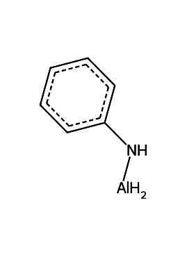 [AlH2][NH]c1ccccc1